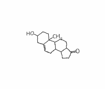 CC12CCC(O)CC1=CCC1C3CCC(=O)C3CCC12